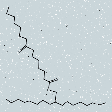 CCCCCCCCC(CCCCCCCC)COC(=O)CCCCCCC(=O)CCCCCCC